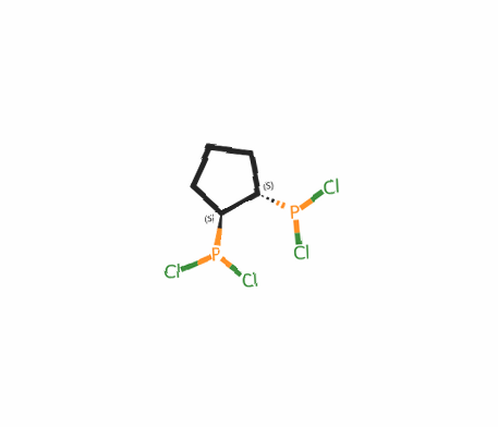 ClP(Cl)[C@H]1CCC[C@@H]1P(Cl)Cl